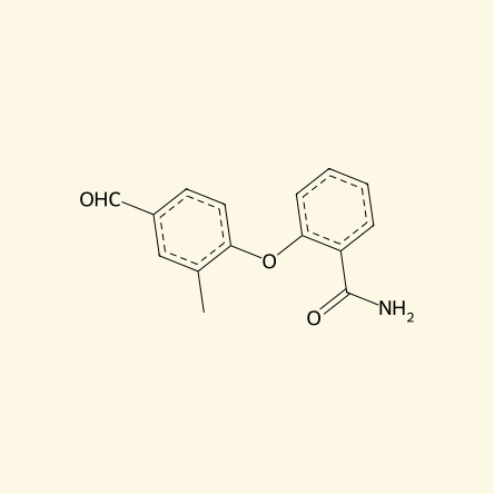 Cc1cc(C=O)ccc1Oc1ccccc1C(N)=O